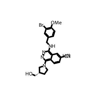 COc1ccc(CNc2nnc(N3CC[C@H](CO)C3)c3ccc(C#N)cc23)cc1Br.Cl